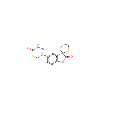 O=C1NN=C(c2ccc3c(c2)C2(CCCS2)C(=O)N3)CS1